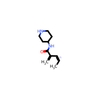 C=C(/C=C\C)C(=O)NC1CCNCC1